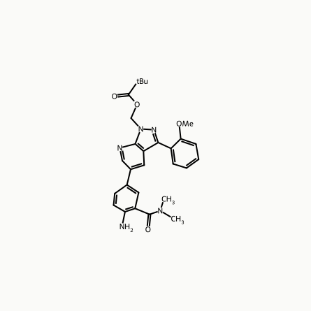 COc1ccccc1-c1nn(COC(=O)C(C)(C)C)c2ncc(-c3ccc(N)c(C(=O)N(C)C)c3)cc12